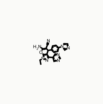 CCn1nc(-c2cncnc2)c2c1OC(N)=C(C#N)C2c1ccc(-n2ccnc2)cc1